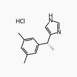 Cc1cc(C)cc([C@@H](C)c2c[nH]cn2)c1.Cl